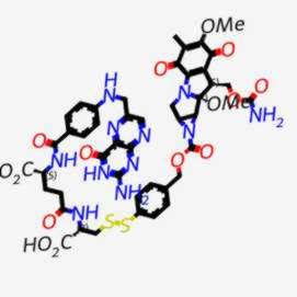 COC1=C(C)C(=O)C2=C(C1=O)[C@@H](COC(N)=O)[C@@]1(OC)C3C(CN21)N3C(=O)OCc1ccc(SSC[C@H](NC(=O)CC[C@H](NC(=O)c2ccc(NCc3cnc4nc(N)[nH]c(=O)c4n3)cc2)C(=O)O)C(=O)O)cc1